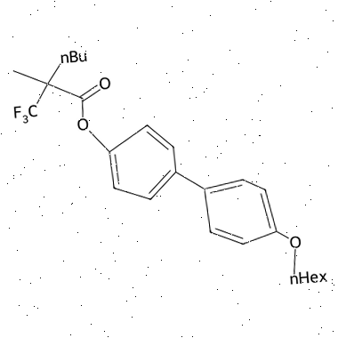 CCCCCCOc1ccc(-c2ccc(OC(=O)C(C)(CCCC)C(F)(F)F)cc2)cc1